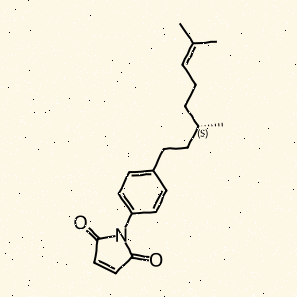 CC(C)=CCC[C@H](C)CCc1ccc(N2C(=O)C=CC2=O)cc1